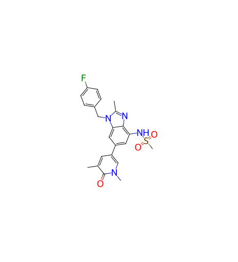 Cc1cc(-c2cc(NS(C)(=O)=O)c3nc(C)n(Cc4ccc(F)cc4)c3c2)cn(C)c1=O